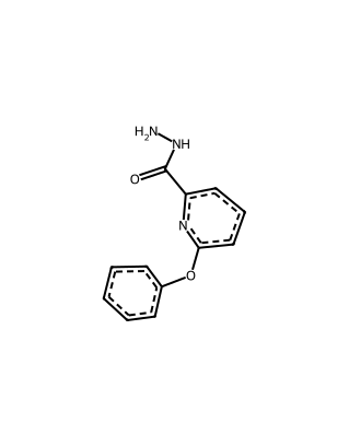 NNC(=O)c1cccc(Oc2ccccc2)n1